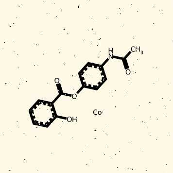 CC(=O)Nc1ccc(OC(=O)c2ccccc2O)cc1.[Co]